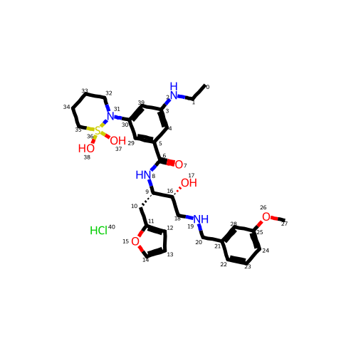 CCNc1cc(C(=O)N[C@@H](Cc2ccco2)[C@H](O)CNCc2cccc(OC)c2)cc(N2CCCCS2(O)O)c1.Cl